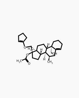 CC(=O)O[C@@]1(COC2=CCCC2)CC[C@H]2[C@@H]3[C@H](C)CC4=CCCC[C@]4(CO)[C@H]3CC[C@@]21C